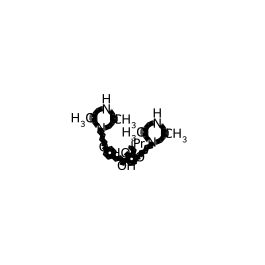 CC(C)CCC1C(OCCCCN2CCCN(C)CCNCCCN(C)CC2)CCC(C(O)CCC2CCC(OCCCCN3CCCN(C)CCNCCCN(C)CC3)CC2)C1O